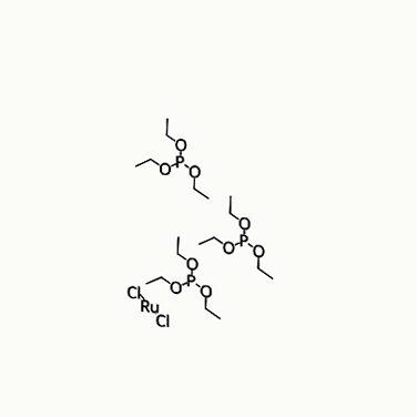 CCOP(OCC)OCC.CCOP(OCC)OCC.CCOP(OCC)OCC.[Cl][Ru][Cl]